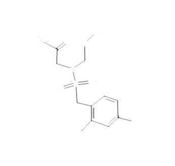 CC(C)SCN(CC(N)=O)S(=O)(=O)Cc1ccc(C(F)(F)F)cc1Cl